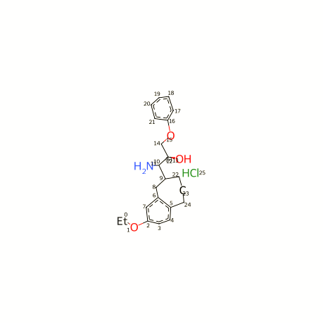 CCOc1ccc2c(c1)CC(C(N)[C@H](O)COc1ccccc1)CCC2.Cl